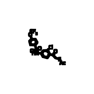 CC(=O)SCC(=O)c1ccc(NS(=O)(=O)c2ccc(OC(F)(F)F)cc2)cc1Cl